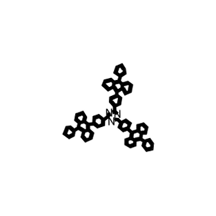 c1ccc(-c2c3ccccc3c(-c3ccc(-c4nc(-c5ccc(-c6c7ccccc7c(-c7ccccc7)c7ccccc67)cc5)nc(-c5ccc(-c6c7ccccc7c(-c7ccccc7)c7ccccc67)cc5)n4)cc3)c3ccccc23)cc1